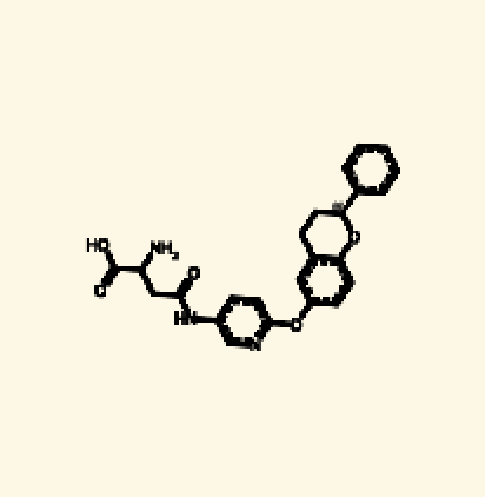 NC(CC(=O)Nc1ccc(Oc2ccc3c(c2)CC[C@@H](c2ccccc2)O3)nc1)C(=O)O